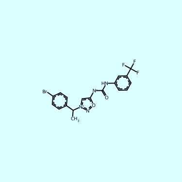 CC(c1ccc(Br)cc1)[n+]1cc([N-]C(=O)Nc2cccc(C(F)(F)F)c2)on1